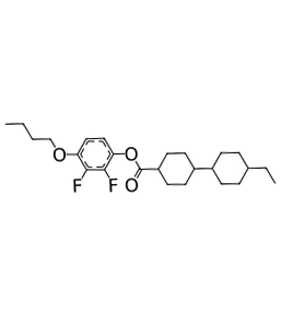 CCCCOc1ccc(OC(=O)C2CCC(C3CCC(CC)CC3)CC2)c(F)c1F